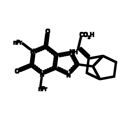 CCCn1c(=O)c2[nH]c(C3C4CCC3/C(=C\C(=O)O)C4)nc2n(CCC)c1=O